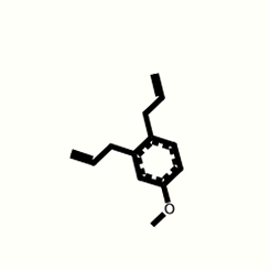 C=CCc1ccc(OC)cc1CC=C